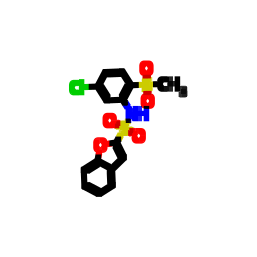 CS(=O)(=O)c1ccc(Cl)cc1NS(=O)(=O)c1cc2ccccc2o1